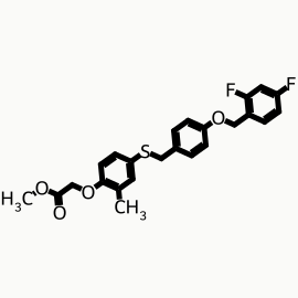 COC(=O)COc1ccc(SCc2ccc(OCc3ccc(F)cc3F)cc2)cc1C